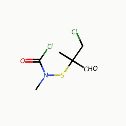 CN(SC(C)(C=O)CCl)C(=O)Cl